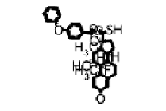 C[C@]12C=CC(=O)C=C1CC[C@H]1[C@@H]3CC[C@](OC(=O)c4ccc(Oc5ccccc5)cc4)(C(=O)S)[C@@]3(C)C[C@H](O)[C@@]12F